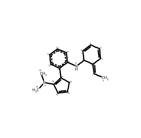 CC=C1C=CC=CC1Nc1ccccc1C1=C(N(C)C)C=CC1